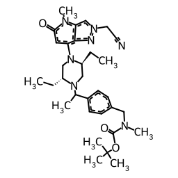 CC[C@H]1CN(C(C)c2ccc(CN(C)C(=O)OC(C)(C)C)cc2)[C@H](CC)CN1c1cc(=O)n(C)c2cn(CC#N)nc12